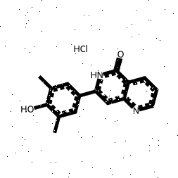 Cc1cc(-c2cc3ncccc3c(=O)[nH]2)cc(C)c1O.Cl